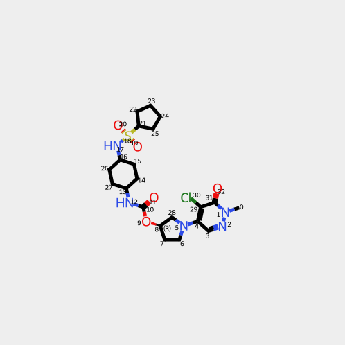 Cn1ncc(N2CC[C@@H](OC(=O)NC3CCC(NS(=O)(=O)C4CCCC4)CC3)C2)c(Cl)c1=O